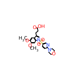 COc1cc2c(CCC(=O)O)cn(S(=O)(=O)c3ccc(N4CCOCC4)nc3)c2cc1OC